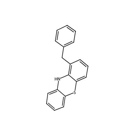 c1ccc(Cc2cccc3c2Nc2ccccc2S3)cc1